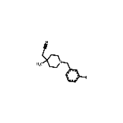 CC1(CC#N)CCN(Cc2cccc(I)c2)CC1